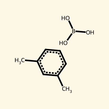 Cc1cccc(C)c1.OB(O)O